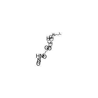 CC(C)CCC[C@@H](C)C1CC[C@H]2C3CC=C4C[C@@H](OC(=O)CCCCC(=O)NCCN5CCOCC5)CC[C@]4(C)C3CC[C@]12C